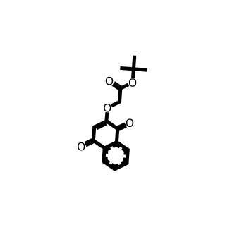 CC(C)(C)OC(=O)COC1=CC(=O)c2ccccc2C1=O